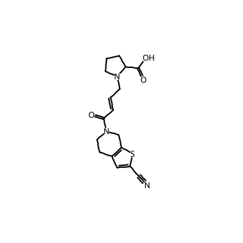 N#Cc1cc2c(s1)CN(C(=O)/C=C/CN1CCCC1C(=O)O)CC2